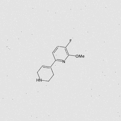 COc1nc(C2=CCNCC2)ccc1F